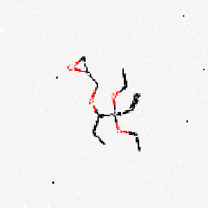 C=C[Si](OCC)(OCC)C(CC)OCC1CO1